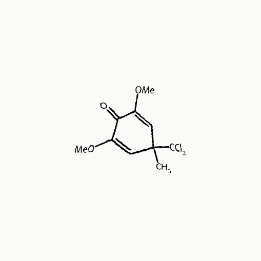 COC1=CC(C)(C(Cl)(Cl)Cl)C=C(OC)C1=O